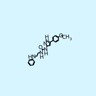 COc1ccc(-c2cc(NC(=O)NCCNc3ccccc3)n[nH]2)cc1